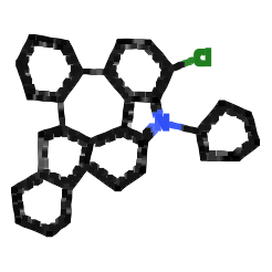 Clc1ccc2c3c4c5c(cc6ccccc6c5ccc4n(-c4ccccc4)c13)-c1ccccc1-2